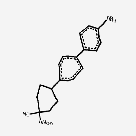 CCCCCCCCCC1(C#N)CCC(c2ccc(-c3ccc(CCCC)cc3)cc2)CC1